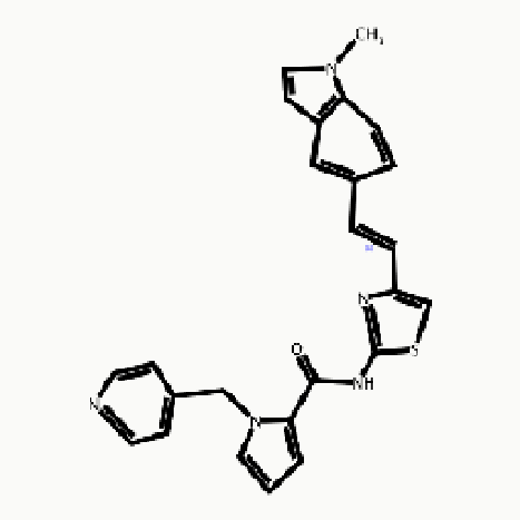 Cn1ccc2cc(/C=C/c3csc(NC(=O)c4cccn4Cc4ccncc4)n3)ccc21